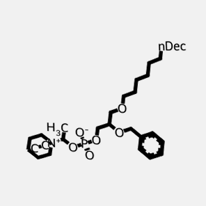 CCCCCCCCCCCCCCCCOCC(COP(=O)([O-])OC(C)[N+]12CCC(CC1)CC2)OCc1ccccc1